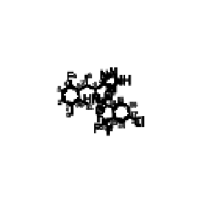 Cc1ccc(F)c([C@@H](C)[C@H](NS(=O)(=O)c2ccc(Cl)cc2C(F)(F)F)c2nn[nH]n2)c1C